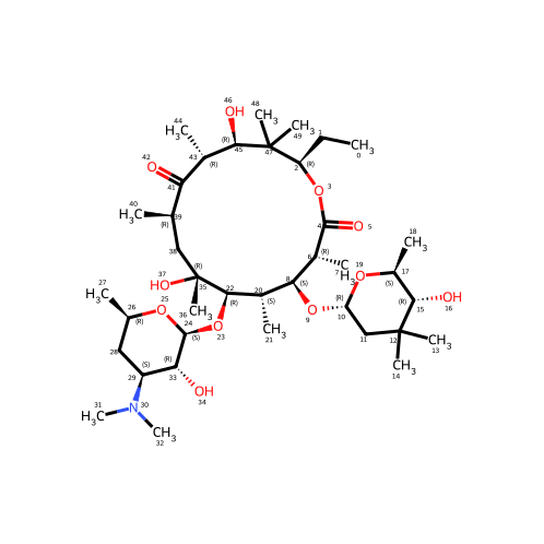 CC[C@H]1OC(=O)[C@H](C)[C@@H](O[C@H]2CC(C)(C)[C@@H](O)[C@H](C)O2)[C@H](C)[C@@H](O[C@@H]2O[C@H](C)C[C@H](N(C)C)[C@H]2O)[C@](C)(O)C[C@@H](C)C(=O)[C@H](C)[C@@H](O)C1(C)C